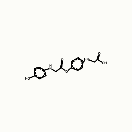 O=C(O)CNc1ccc(OC(=O)CNc2ccc(O)cc2)cc1